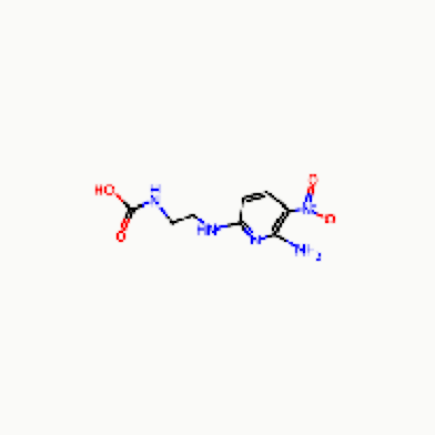 Nc1nc(NCCNC(=O)O)ccc1[N+](=O)[O-]